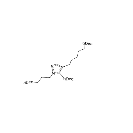 CCCCCCCCCCCCCCCn1cc[n+](CCCCCCCCCCCCC)c1CCCCCCCCCC